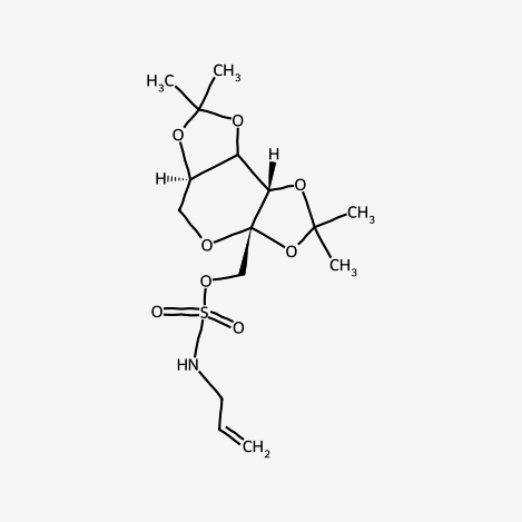 C=CCNS(=O)(=O)OC[C@@]12OC[C@H]3OC(C)(C)OC3[C@@H]1OC(C)(C)O2